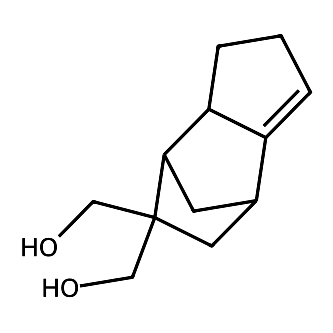 OCC1(CO)CC2CC1C1CCC=C21